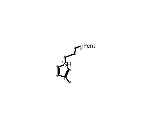 CCCCCCCC[SH]1C=CC(C)=C1